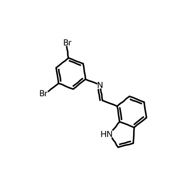 Brc1cc(Br)cc(/N=C/c2cccc3cc[nH]c23)c1